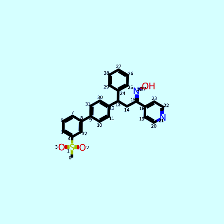 CS(=O)(=O)c1cccc(-c2ccc(C(CC(=NO)c3ccncc3)c3ccccc3)cc2)c1